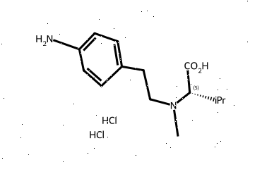 CC(C)[C@@H](C(=O)O)N(C)CCc1ccc(N)cc1.Cl.Cl